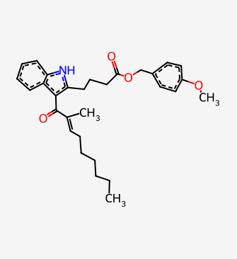 CCCCCC/C=C(\C)C(=O)c1c(CCCC(=O)OCc2ccc(OC)cc2)[nH]c2ccccc12